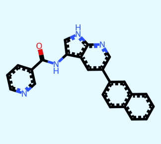 O=C(Nc1c[nH]c2ncc(-c3ccc4ccccc4c3)cc12)c1cccnc1